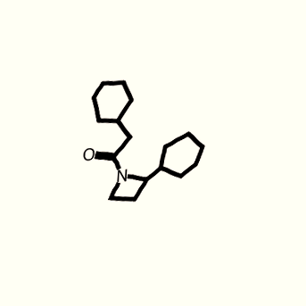 O=C(CC1CCCCC1)N1CCC1C1CCCCC1